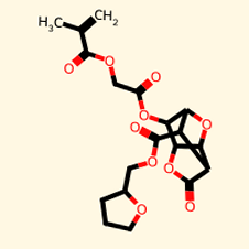 C=C(C)C(=O)OCC(=O)OC1C2OC(=O)C3C2OC1C3C(=O)OCC1CCCO1